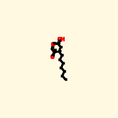 CCCCCCCC(CC(=O)O)C(C)=O